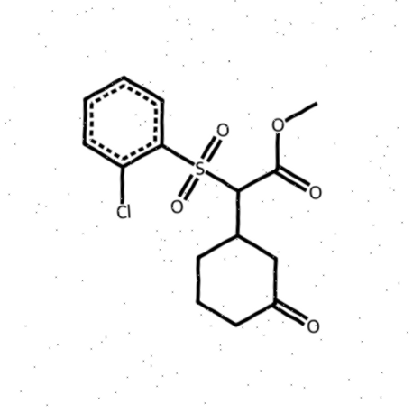 COC(=O)C(C1CCCC(=O)C1)S(=O)(=O)c1ccccc1Cl